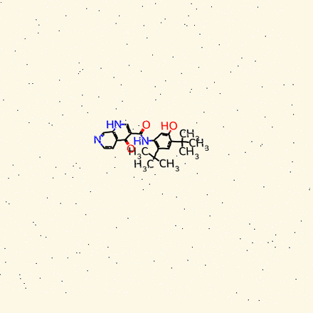 CC(C)(C)c1cc(C(C)(C)C)c(NC(=O)c2c[nH]c3cnccc3c2=O)cc1O